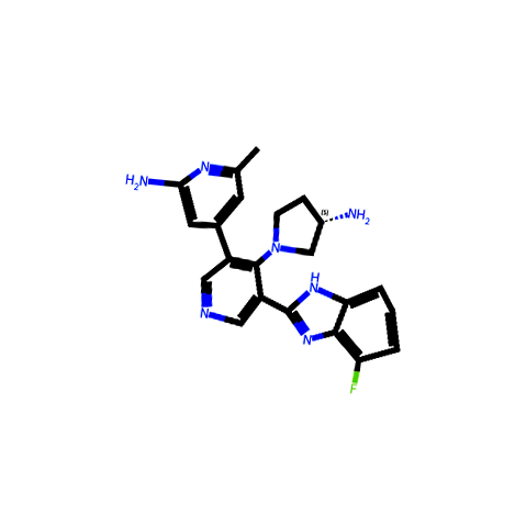 Cc1cc(-c2cncc(-c3nc4c(F)cccc4[nH]3)c2N2CC[C@H](N)C2)cc(N)n1